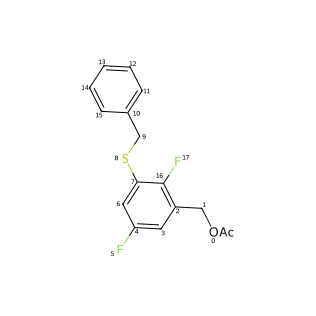 CC(=O)OCc1cc(F)cc(SCc2ccccc2)c1F